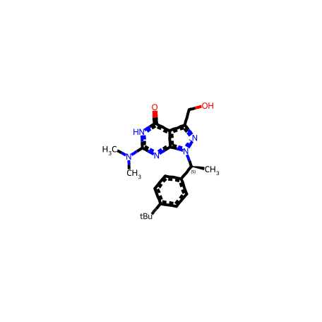 C[C@@H](c1ccc(C(C)(C)C)cc1)n1nc(CO)c2c(=O)[nH]c(N(C)C)nc21